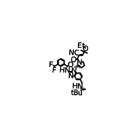 CCOC(C)(C)C=C(C#N)C(=O)N1CCC[C@@H]1Cn1c(NC(=O)c2cccc(C(F)F)c2)nc2cc(CN[C@@H](C)C(C)(C)C)ccc21